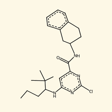 CCCC(Nc1cc(C(=O)NC2CCc3ccccc3C2)nc(Cl)n1)C(C)(C)C